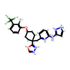 Fc1c(OC2CCC(Cc3cccc(Nc4cc[nH]n4)n3)(c3nnco3)CC2)cccc1C(F)(F)F